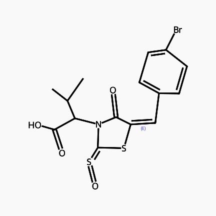 CC(C)C(C(=O)O)N1C(=O)/C(=C\c2ccc(Br)cc2)SC1=S=O